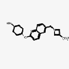 CC(C)(C)[C@H]1CC[C@H](Oc2ccc3cc(CN4CC(C(=O)O)C4)ccc3n2)CC1